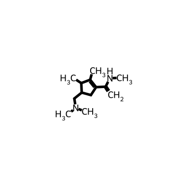 C=C(NC)C1=C(C)C(C)C(CN(C)C)C1